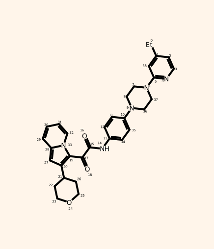 CCc1ccnc(N2CCN(c3ccc(NC(=O)C(=O)c4c(C5CCOCC5)cc5ccccn45)cc3)CC2)c1